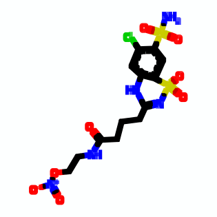 NS(=O)(=O)c1cc2c(cc1Cl)NC(CCCC(=O)NCCO[N+](=O)[O-])=NS2(=O)=O